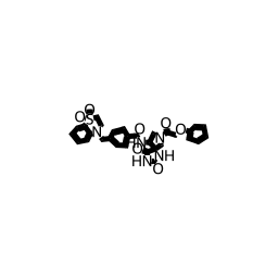 O=C1NC(=O)C2(CN(C(=O)COc3ccccc3)CC2NC(=O)c2ccc(CN3CCS(=O)(=O)c4ccccc43)cc2)N1